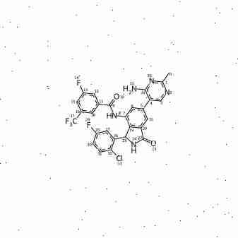 Cc1ncc(-c2cc(NC(=O)c3cc(F)cc(C(F)(F)F)c3)c3c(c2)C(=O)NC3c2cc(F)ccc2Cl)c(N)n1